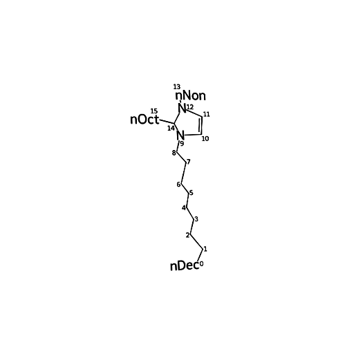 CCCCCCCCCCCCCCCCCCN1C=CN(CCCCCCCCC)C1CCCCCCCC